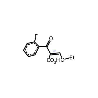 CCO/C=C(\C(=O)O)C(=O)c1ccccc1F